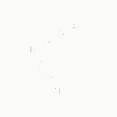 [Al+3].[Al+3].[B].[B].[O-2].[O-2].[O-2]